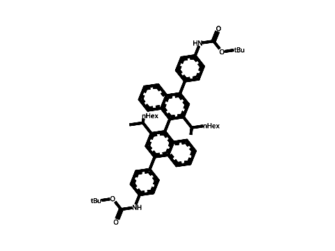 CCCCCCC(C)c1cc(-c2ccc(NC(=O)OC(C)(C)C)cc2)c2ccccc2c1-c1c(C(C)CCCCCC)cc(-c2ccc(NC(=O)OC(C)(C)C)cc2)c2ccccc12